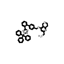 CCc1cc(OCc2ccc(-c3ccccc3-c3nnn(C(c4ccccc4)(c4ccccc4)c4ccccc4)n3)cc2)c2c(n1)CCOC2